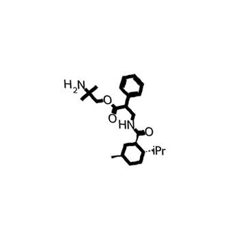 CC(C)[C@@H]1CC[C@@H](C)C[C@H]1C(=O)NCC(C(=O)OCC(C)(C)N)c1ccccc1